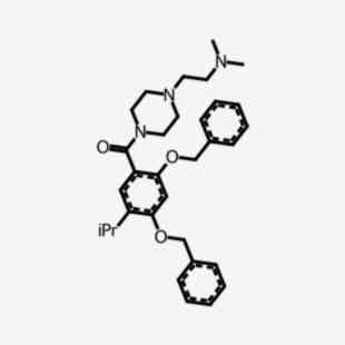 CC(C)c1cc(C(=O)N2CCN(CCN(C)C)CC2)c(OCc2ccccc2)cc1OCc1ccccc1